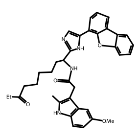 CCC(=O)CCCCCC(NC(=O)Cc1c(C)[nH]c2ccc(OC)cc12)c1ncc(-c2cccc3c2oc2ccccc23)[nH]1